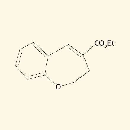 CCOC(=O)C1=Cc2ccccc2OCC1